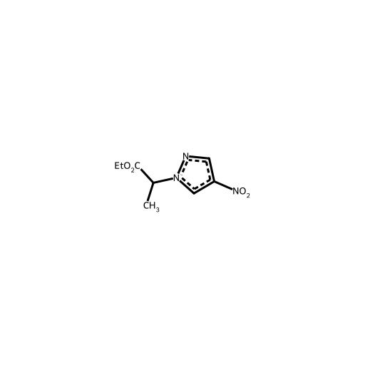 CCOC(=O)C(C)n1cc([N+](=O)[O-])cn1